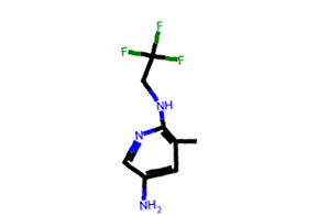 Cc1cc(N)cnc1NCC(F)(F)F